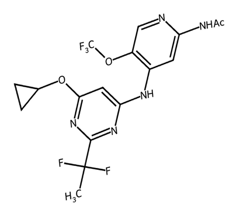 CC(=O)Nc1cc(Nc2cc(OC3CC3)nc(C(C)(F)F)n2)c(OC(F)(F)F)cn1